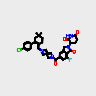 CC1(C)CCC(CN2CC3(C2)CN(C(=O)c2cc(F)c4c(c2)CN(C2CCC(=O)NC2=O)C4=O)C3)=C(c2ccc(Cl)cc2)C1